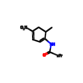 CCCC(=O)NC1=CC=C([N+](=O)[O-])CC1C